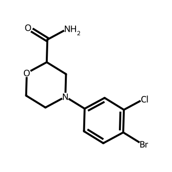 NC(=O)C1CN(c2ccc(Br)c(Cl)c2)CCO1